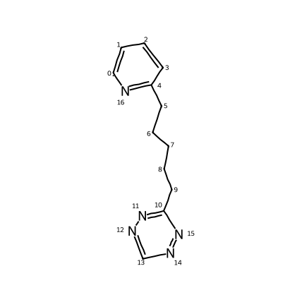 [c]1cccc(CCCCCc2nncnn2)n1